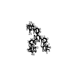 CC1=NC(C)(C)C(C)(C)N1c1cccc(-c2cc(-c3cccc(N4C(C)=NC(C)(C)C4(C)C)n3)nc(-c3cccc(N4C(C)=NC(C)(C)C4(C)C)n3)n2)n1